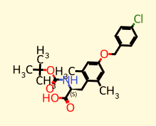 Cc1cc(OCc2ccc(Cl)cc2)cc(C)c1C[C@H](NC(=O)OC(C)(C)C)C(=O)O